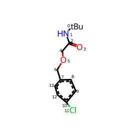 CC(C)(C)NC(=O)COCc1ccc(Cl)cc1